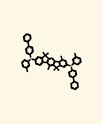 Cc1cccc(N(c2ccc(-c3ccccc3)cc2)c2ccc3c(c2)C(C)(C)c2cc4c(c(C)c2-3)C(C)(C)c2cc(N(c3ccc(-c5ccccc5)cc3)c3cccc(C)c3)cc(C)c2-4)c1